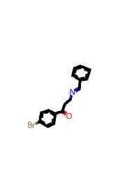 O=C(CCN=Cc1ccccc1)c1ccc(Br)cc1